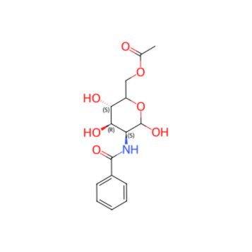 CC(=O)OCC1OC(O)[C@@H](NC(=O)c2ccccc2)[C@@H](O)[C@@H]1O